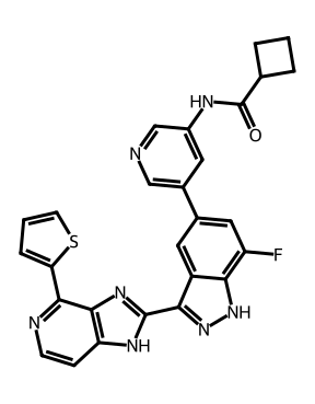 O=C(Nc1cncc(-c2cc(F)c3[nH]nc(-c4nc5c(-c6cccs6)nccc5[nH]4)c3c2)c1)C1CCC1